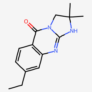 CCc1ccc2c(=O)n3c(nc2c1)NC(C)(C)C3